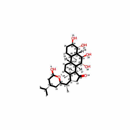 CC(C)[C@@H]1CC(O)O[C@@H]([C@@H](C)[C@H]2CC(=O)[C@@H]3[C@@H]4[C@@H](O)[C@H](O)[C@H]5[C@@H](O)[C@H](O)CC[C@]5(C)[C@H]4CC[C@]23C)C1